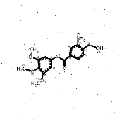 COc1cc(SC(=O)c2ccc(CO)c(N)c2)cc(OC)c1OC